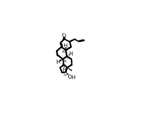 C=CCC1C[C@H]2C(=CC1=O)CC[C@@H]1[C@@H]2CC[C@]2(C)[C@@H](O)CC[C@@H]12